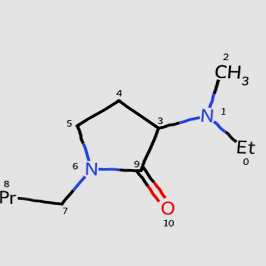 CCN(C)C1CCN(CC(C)C)C1=O